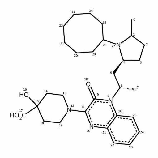 CC1CC[C@@H](C[C@H](C)n2c(=O)c(N3CCC(O)(C(=O)O)CC3)nc3ccccc32)N1C1CCCCCCC1